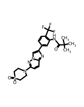 CC(C)(C)C(=O)Nc1cc(-c2cn3nc(N4CCS(=O)(=O)CC4)ccc3n2)ccc1C(F)(F)F